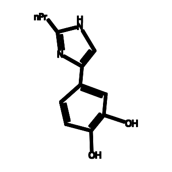 CCCc1nc(-c2ccc(O)c(O)c2)c[nH]1